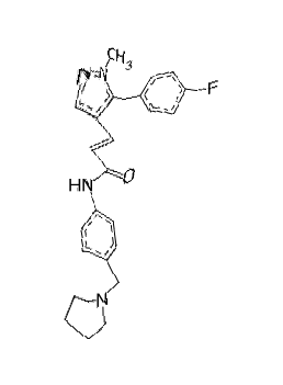 Cn1ncc(C=CC(=O)Nc2ccc(CN3CCCC3)cc2)c1-c1ccc(F)cc1